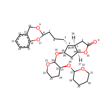 O=C1C[C@@H]2[C@@H](CCCC3OCc4ccccc4O3)[C@H](OC3OCCC[C@@H]3OC3CCCCO3)C[C@@H]2O1